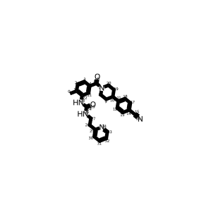 Cc1ccc(C(=O)N2CCC(c3ccc(C#N)cc3)CC2)cc1NC(=O)NCCc1ccccn1